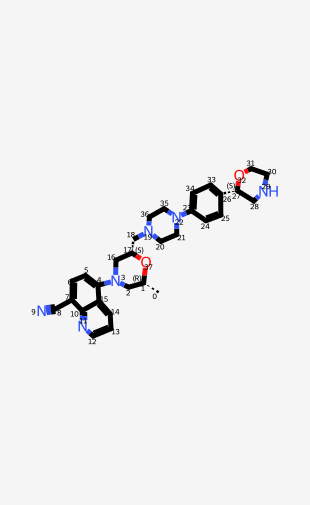 C[C@@H]1CN(c2ccc(C#N)c3ncccc23)C[C@H](CN2CCN(c3ccc([C@H]4CNCCO4)cc3)CC2)O1